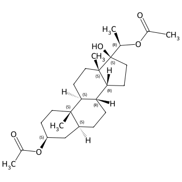 CC(=O)O[C@H]1CC[C@@]2(C)[C@@H](CC[C@H]3[C@H]4CC[C@@](O)([C@@H](C)OC(C)=O)[C@@]4(C)CC[C@@H]32)C1